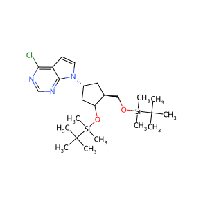 CC(C)(C)[Si](C)(C)OC[C@@H]1C[C@@H](n2ccc3c(Cl)ncnc32)CC1O[Si](C)(C)C(C)(C)C